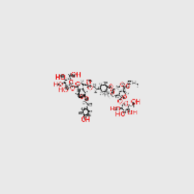 C/C=C1/[C@H](O[C@@H]2O[C@H](CO)[C@@H](O)[C@H](O)[C@H]2O)OC=C(C(=O)OC)[C@H]1CC(=O)Oc1ccc(CCOC(=O)C2=CO[C@@H](O[C@@H]3O[C@H](CO)[C@@H](O)[C@H](O)[C@H]3O)/C(=C/C)[C@@H]2CC(=O)OCCc2ccc(O)cc2)cc1